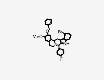 COc1cc2c(cc1OCc1ccccc1)C1Cc3c([nH]c4cccc(Br)c34)C(c3ccc(F)cc3)N1CC2